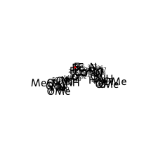 COC(=O)N[C@H](C(=O)N1CCC[C@H]1c1ncc(-c2ccc3c(c2)C(F)(F)C(F)(F)c2cc(-c4cnc([C@@H]5CCCN5C(=O)[C@@H](NC(=O)OC)[C@@H](C)OC)[nH]4)ccc2-3)[nH]1)[C@@H](C)OC